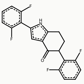 O=C1c2cc(-c3c(F)cccc3F)[nH]c2CCC1c1c(F)cccc1F